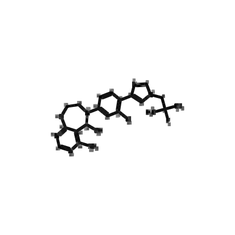 CC(C)(F)Cn1cnc(-c2ccc(N3CCOc4ncnc(N)c4C3O)cc2Cl)c1